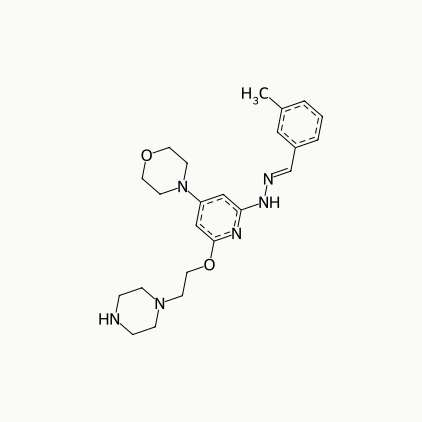 Cc1cccc(C=NNc2cc(N3CCOCC3)cc(OCCN3CCNCC3)n2)c1